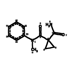 CN(C(=O)C1(C(N)=O)CC1)c1ccccc1